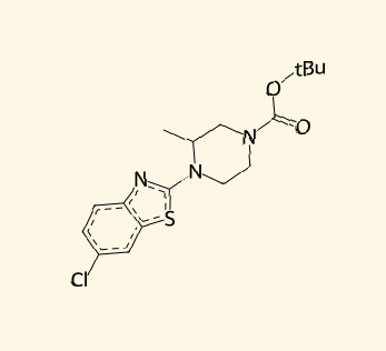 CC1CN(C(=O)OC(C)(C)C)CCN1c1nc2ccc(Cl)cc2s1